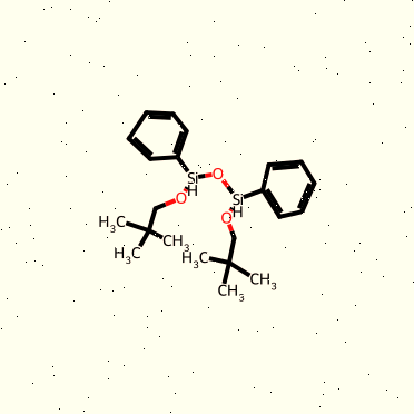 CC(C)(C)CO[SiH](O[SiH](OCC(C)(C)C)c1ccccc1)c1ccccc1